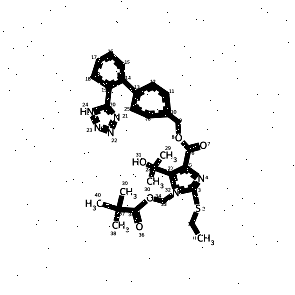 CCSc1nc(C(=O)OCc2ccc(-c3ccccc3-c3nnn[nH]3)cc2)c(C(C)(C)O)n1COC(=O)C(C)(C)C